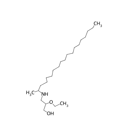 CCCCCCCCCCCCCCCCCC(C)NCC(CO)OCC